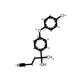 CC(O)(CCC#N)c1ccc(Oc2ccc(Cl)cc2)cc1